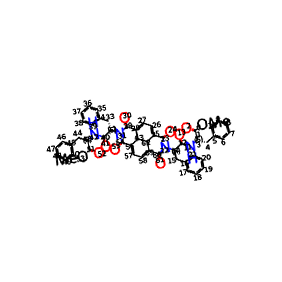 COC(=O)[C@H](Cc1ccccc1)NC(=O)[C@@H](Cc1ccccc1)N1C(=O)C2=CC=C3C(=O)N([C@@H](Cc4ccccc4)C(=O)N[C@H](Cc4ccccc4)C(=O)OC)C(=O)C4=CC=C(C1=O)C2C34